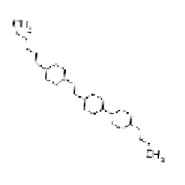 CCCCCCC1CCC(CCC2CCC(C3CCC(CCCC)CC3)CC2)CC1